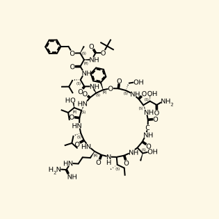 CC[C@H](C)C1NC(=O)[C@@H](CCCNC(=N)N)NC(=O)[C@H](CC(C)C)NC(=O)[C@H]([C@H](O)C(C)C)NC(=O)[C@@H](NC(=O)[C@H](CC(C)C)NC(=O)[C@H](NC(=O)OC(C)(C)C)[C@H](C)OCc2ccccc2)[C@@H](c2ccccc2)OC(=O)[C@H](CO)NC(=O)[C@H]([C@H](O)C(N)=O)NC(=O)CNC(=O)C([C@H](C)O)NC1=O